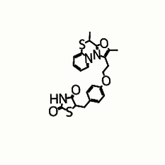 Cc1oc(C(C)Sc2ccccn2)nc1CCOc1ccc(CC2SC(=O)NC2=O)cc1